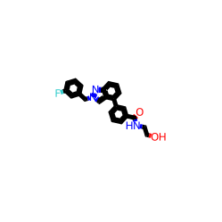 O=C(NCCO)c1cccc(-c2cccc3nn(Cc4cccc(F)c4)cc23)c1